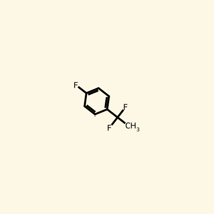 CC(F)(F)c1[c]cc(F)cc1